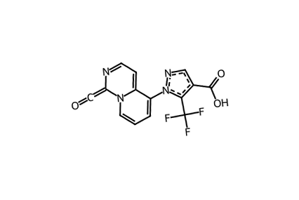 O=C=C1N=CC=C2C(n3ncc(C(=O)O)c3C(F)(F)F)=CC=CN12